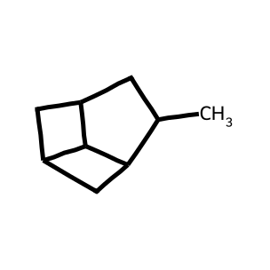 CC1CC2CC3CC1C23